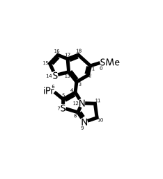 CSc1cc(C2=C(C(C)C)SC3=NCCN32)c2sccc2c1